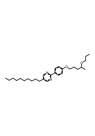 CCCCCCCCCCc1cnc(-c2ccc(OCCCC(C)OCCC)cc2)nc1